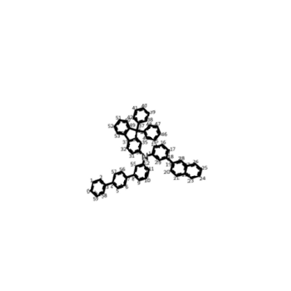 c1ccc(-c2ccc(-c3cccc(N(c4cccc(-c5ccc6ccccc6c5)c4)c4ccc5c(c4)C(c4ccccc4)(c4ccccc4)c4ccccc4-5)c3)cc2)cc1